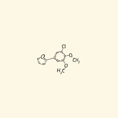 COc1cc(-c2ccco2)cc(Cl)c1OC